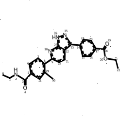 CCNC(=O)c1ccc(-c2ccc3c(-c4ccc(C(=O)OCC)cc4)n[nH]c3n2)c(C)c1